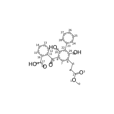 COC(=O)CCc1cc(C(=O)c2ccccc2C(=O)O)c(O)c(-c2ccccc2)c1O